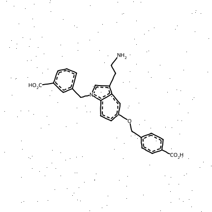 NCCc1cn(Cc2cccc(C(=O)O)c2)c2ccc(OCc3ccc(C(=O)O)cc3)cc12